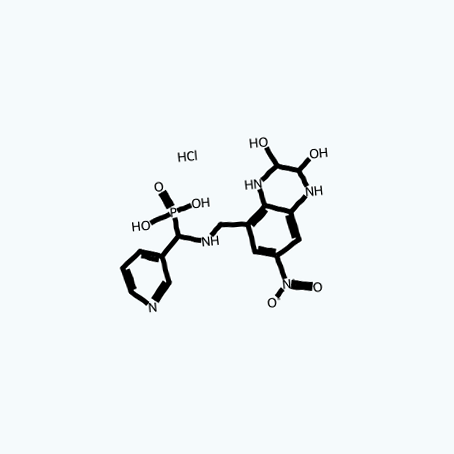 Cl.O=[N+]([O-])c1cc(CNC(c2cccnc2)P(=O)(O)O)c2c(c1)NC(O)C(O)N2